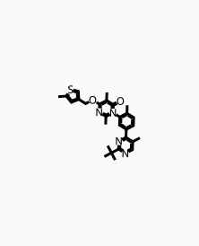 Cc1cc(COc2nc(C)n(-c3cc(-c4nc(C(C)(C)C)ncc4C)ccc3C)c(=O)c2C)cs1